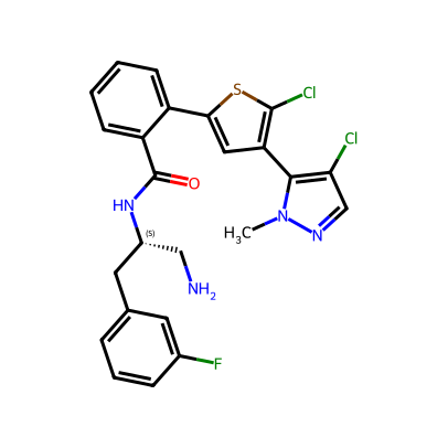 Cn1ncc(Cl)c1-c1cc(-c2ccccc2C(=O)N[C@H](CN)Cc2cccc(F)c2)sc1Cl